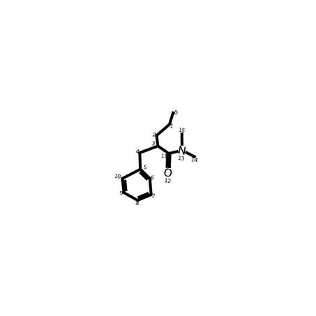 CCCC(Cc1ccccc1)C(=O)N(C)C